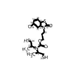 CC(CS)N(C(=O)OCCCn1c(=O)sc2ccc(Cl)cc21)C(C)CS